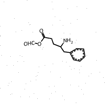 NC(CCC(=O)OC=O)Cc1ccccc1